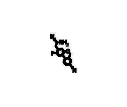 N#Cc1ccc2c(c1)COc1cc(C[C@H](N)C#N)c(F)cc1-2